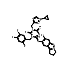 O=c1[nH]/c(=N\c2cc3c4n(nc3cc2Cl)CCC4)n(Cc2cc(F)c(F)cc2F)c(=O)n1Cc1ncn(C2CC2)n1